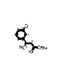 COC(=O)C=C(C#N)c1cccc(Cl)c1